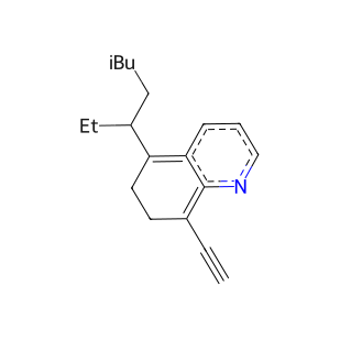 C#CC1=c2ncccc2=C(C(CC)CC(C)CC)CC1